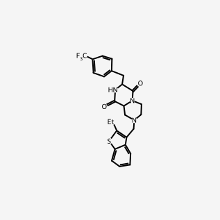 CCc1sc2ccccc2c1CN1CCN2C(=O)C(Cc3ccc(C(F)(F)F)cc3)NC(=O)C2C1